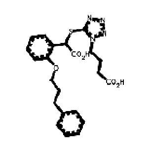 O=C(O)CCCn1nnnc1SC(C(=O)O)c1ccccc1OCCCc1ccccc1